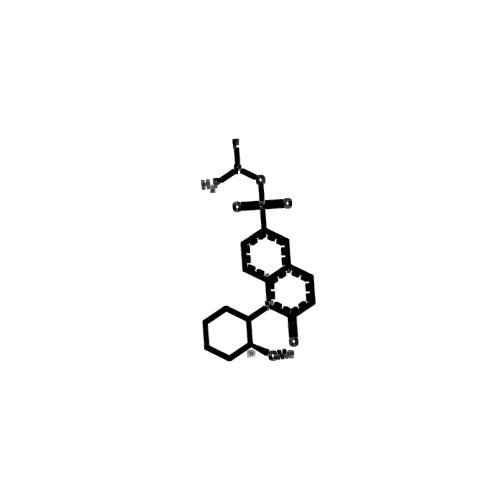 CO[C@H]1CCCCC1n1c(=O)ccc2cc(S(=O)(=O)OP(F)P)ccc21